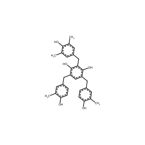 Cc1cc(Cc2cc(Cc3ccc(O)c(C)c3)c(O)c(Cc3cc(C)c(O)c(C)c3)c2O)ccc1O